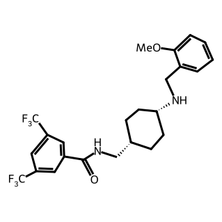 COc1ccccc1CN[C@H]1CC[C@@H](CNC(=O)c2cc(C(F)(F)F)cc(C(F)(F)F)c2)CC1